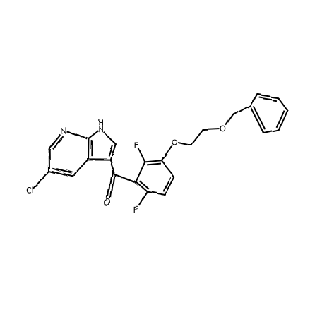 O=C(c1c(F)ccc(OCCOCc2ccccc2)c1F)c1c[nH]c2ncc(Cl)cc12